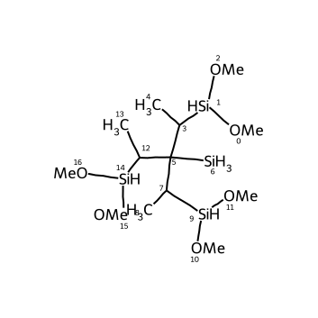 CO[SiH](OC)C(C)C([SiH3])(C(C)[SiH](OC)OC)C(C)[SiH](OC)OC